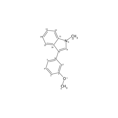 COc1[c]ccc(-c2cn(C)c3ccccc23)c1